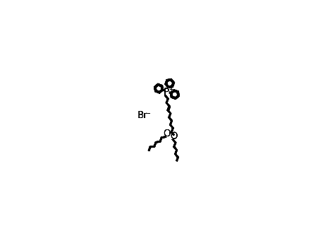 CCCCCCCOC(CCCCC/C=C/CCC[P+](c1ccccc1)(c1ccccc1)c1ccccc1)OCCCCCCC.[Br-]